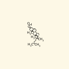 CC(C)CCC[C@@H](C)[C@H]1CCC2C3CC=C4C[C@@H](OC(=O)I)CC[C@]4(C)C3CC[C@@]21C